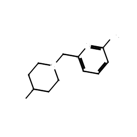 CC(C)C1CCN(Cc2cccc(C#N)n2)CC1